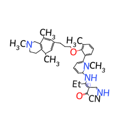 CC/C(NC1C=CC=C(c2cccc(C)c2OCCCC2=CC(C)C3=C(CN(C)CC3)C(C)=C2)N1C)=C(/C=N)C(=O)C#N